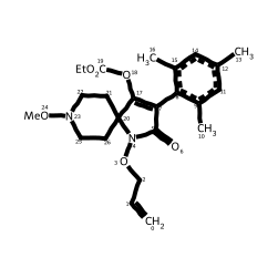 C=CCON1C(=O)C(c2c(C)cc(C)cc2C)=C(OC(=O)OCC)C12CCN(OC)CC2